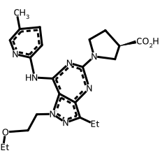 CCOCCn1nc(CC)c2nc(N3CC[C@@H](C(=O)O)C3)nc(Nc3ccc(C)cn3)c21